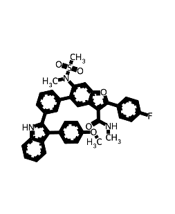 CNC(=O)c1c(-c2ccc(F)cc2)oc2cc(N(C)S(C)(=O)=O)c(-c3cccc(-c4[nH]c5ccccc5c4-c4ccc(OC)cc4)c3)cc12